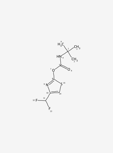 CC(C)(C)NC(=O)Oc1nc(C(F)F)cs1